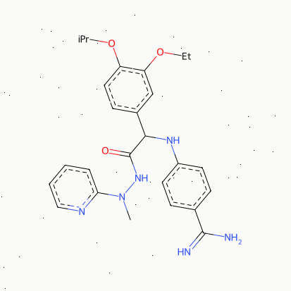 CCOc1cc(C(Nc2ccc(C(=N)N)cc2)C(=O)NN(C)c2ccccn2)ccc1OC(C)C